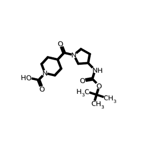 CC(C)(C)OC(=O)NC1CCN(C(=O)C2CCN(C(=O)O)CC2)C1